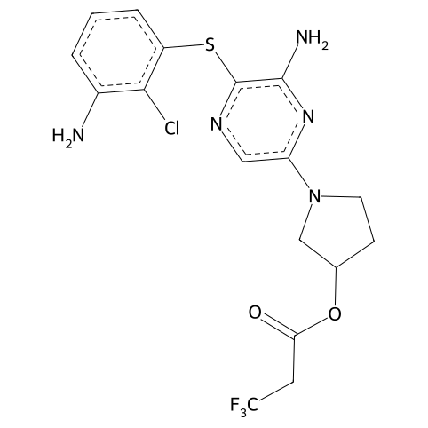 Nc1cccc(Sc2ncc(N3CCC(OC(=O)CC(F)(F)F)C3)nc2N)c1Cl